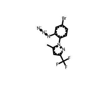 Cc1cc(C(F)(F)F)nn1-c1ccc(Br)cc1N=[N+]=[N-]